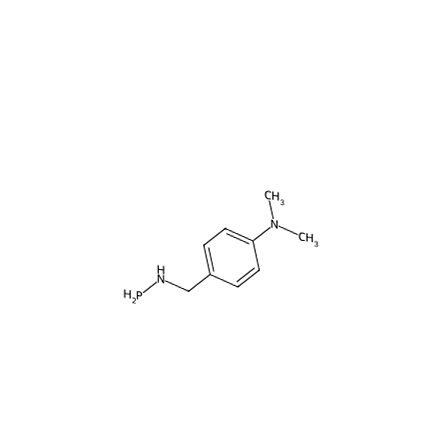 CN(C)c1ccc(CNP)cc1